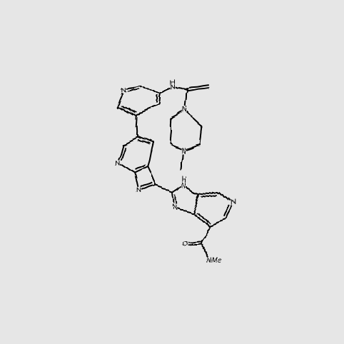 C=C(Nc1cncc(-c2cnc3c(c2)C(c2nc4c(C(=O)NC)cncc4[nH]2)=N3)c1)N1CCN(C)CC1